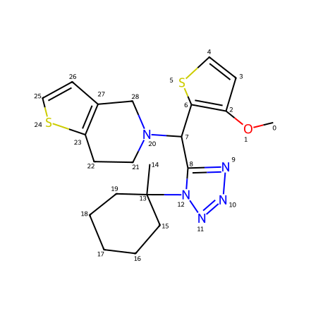 COc1ccsc1C(c1nnnn1C1(C)CCCCC1)N1CCc2sccc2C1